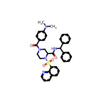 CN(C)c1ccc(C(=O)N2CCN(S(=O)(=O)c3cccc4cccnc34)C(C(=O)NC(c3ccccc3)c3ccccc3)C2)cc1